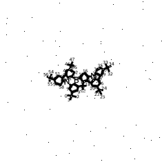 CC(C)(C)c1cc2c3c(c1)C(C)(C)c1c(ccc4c1c1cc(C(C)(C)C)cc5c6cc(C(C)(C)C)ccc6n4c51)B3c1cc(C(C)(C)C)cc3c4cc(C(C)(C)C)ccc4n-2c13